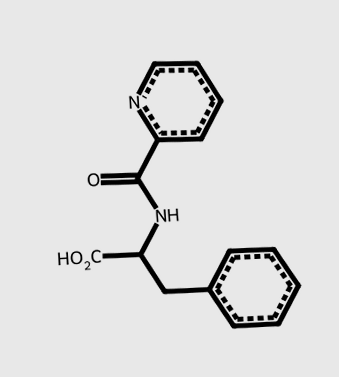 O=C(NC(Cc1ccccc1)C(=O)O)c1ccccn1